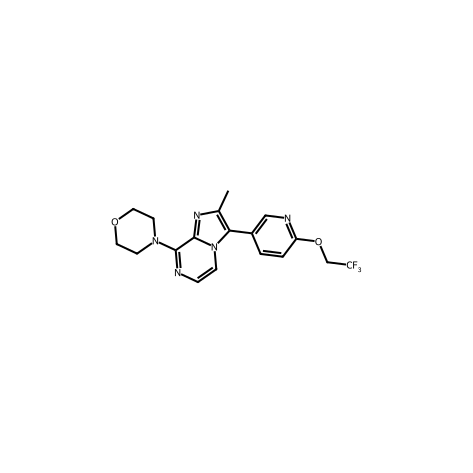 Cc1nc2c(N3CCOCC3)nccn2c1-c1ccc(OCC(F)(F)F)nc1